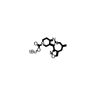 C=C1Cc2conc2-c2c3c(nn2C1)CCN(C(=O)OC(C)(C)C)C3